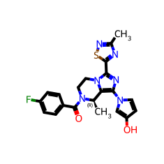 Cc1nsc(-c2nc(-n3ccc(O)c3)c3n2CCN(C(=O)c2ccc(F)cc2)[C@@H]3C)n1